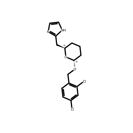 Clc1ccc(CO[C@H]2CCC[C@H](Cc3ncc[nH]3)O2)c(Cl)c1